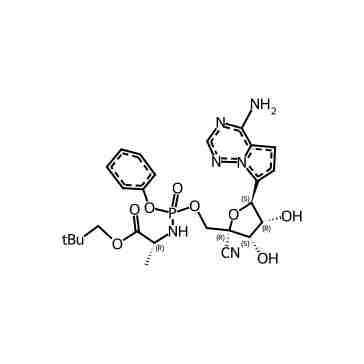 C[C@@H](NP(=O)(OC[C@@]1(C#N)O[C@@H](c2ccc3c(N)ncnn23)[C@H](O)[C@@H]1O)Oc1ccccc1)C(=O)OCC(C)(C)C